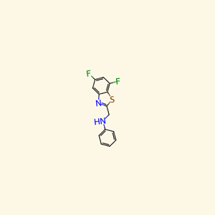 Fc1cc(F)c2sc(CNc3ccccc3)nc2c1